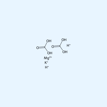 O=C(O)O.O=C(O)O.[H+].[H+].[K+].[Mg+2]